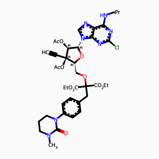 C#C[C@@]1(OC(C)=O)[C@@H](COC(Cc2ccc(N3CCCN(C)C3=O)cc2)(C(=O)OCC)C(=O)OCC)O[C@@H](n2cnc3c(NC(C)C)nc(Cl)nc32)[C@@H]1OC(C)=O